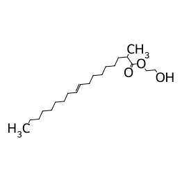 CCCCCCCCC=CCCCCCCC(C)C(=O)OCCO